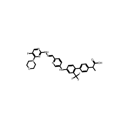 CC(C(=O)O)c1ccc(-c2ccc(Nc3ccc(/C=N/Nc4ncc(F)c(N5CCOCC5)n4)nc3)cc2C(F)(F)F)cc1